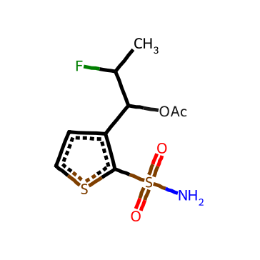 CC(=O)OC(c1ccsc1S(N)(=O)=O)C(C)F